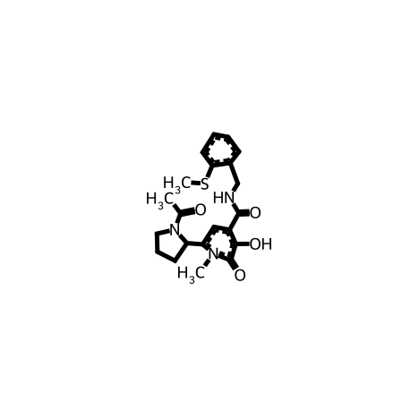 CSc1ccccc1CNC(=O)c1cc(C2CCCN2C(C)=O)n(C)c(=O)c1O